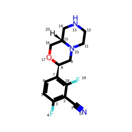 N#Cc1c(F)ccc([C@@H]2CN3CCNC[C@H]3CO2)c1F